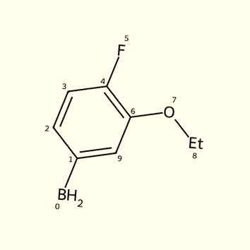 Bc1ccc(F)c(OCC)c1